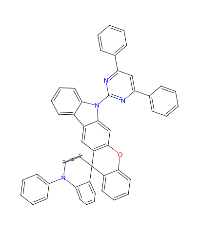 c1ccc(-c2cc(-c3ccccc3)nc(-n3c4ccccc4c4cc5c(cc43)Oc3ccccc3C53c4ccccc4N(c4ccccc4)c4ccccc43)n2)cc1